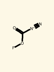 N#[N+]C(=O)OF